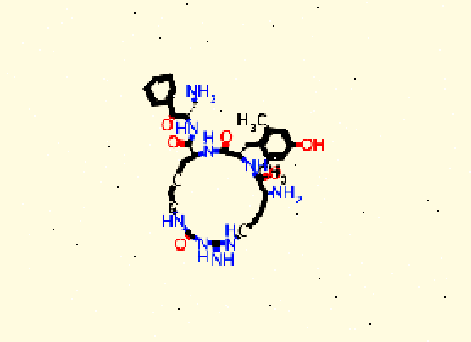 Cc1cc(O)cc(C)c1C[C@@H]1NC(=O)[C@H](N)CCCNC(=N)NC(=O)NCCCC[C@@H](C(=O)N[C@@H](CN)C(=O)c2ccccc2)NC1=O